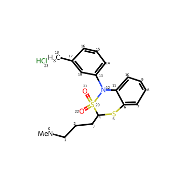 CNCCCC1Sc2ccccc2N(c2cccc(C)c2)S1(=O)=O.Cl